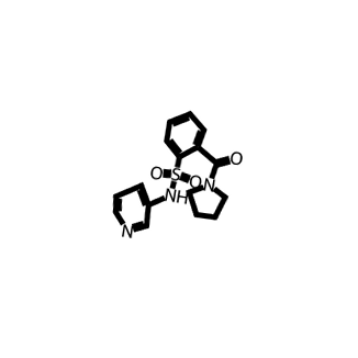 O=C(c1ccccc1S(=O)(=O)Nc1cccnc1)N1CCCC1